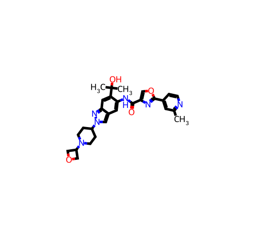 Cc1cc(-c2nc(C(=O)Nc3cc4cn(C5CCN(C6COC6)CC5)nc4cc3C(C)(C)O)co2)ccn1